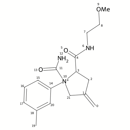 C=C1CC(C(=O)NCCOC)[N+](C(N)=O)(c2cccc(C)c2)C1